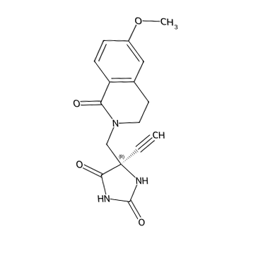 C#C[C@]1(CN2CCc3cc(OC)ccc3C2=O)NC(=O)NC1=O